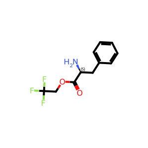 N[C@@H](Cc1ccccc1)C(=O)OCC(F)(F)F